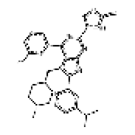 CC(C)c1ccnc(-c2nc3nc(-c4noc(=O)[nH]4)nc(-c4cccc(Cl)c4)c3n2C[C@H]2CC[C@H](C)CC2)c1